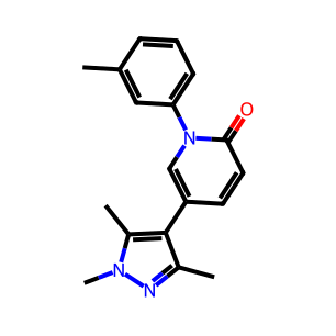 Cc1cccc(-n2cc(-c3c(C)nn(C)c3C)ccc2=O)c1